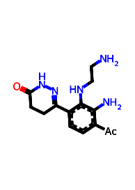 CC(=O)c1ccc(C2=NNC(=O)CC2)c(NCCN)c1N